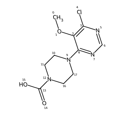 COc1c(Cl)ncnc1N1CCN(C(=O)O)CC1